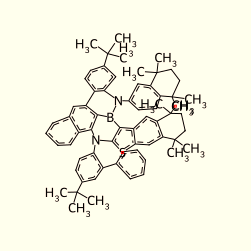 CC(C)(C)c1ccc(N2c3sc4cc5c(cc4c3B3c4c(cc6ccccc6c42)-c2ccc(C(C)(C)C)cc2N3c2ccc3c(c2)C(C)(C)CCC3(C)C)C(C)(C)CCC5(C)C)c(-c2ccccc2)c1